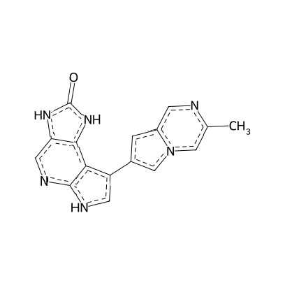 Cc1cn2cc(-c3c[nH]c4ncc5[nH]c(=O)[nH]c5c34)cc2cn1